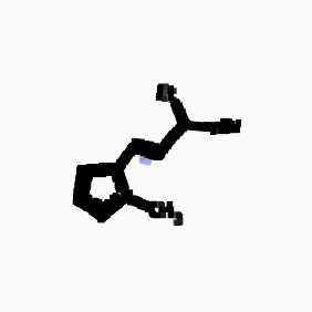 CCCCC(/C=C/c1cccn1C)CC